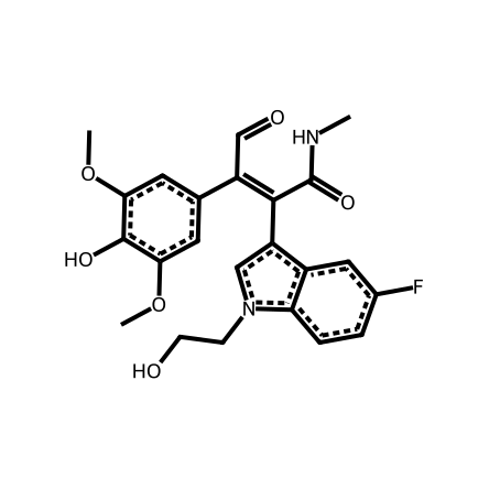 CNC(=O)/C(=C(\C=O)c1cc(OC)c(O)c(OC)c1)c1cn(CCO)c2ccc(F)cc12